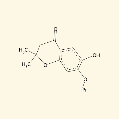 CC(C)Oc1cc2c(cc1O)C(=O)CC(C)(C)O2